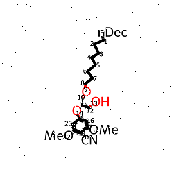 CCCCCCCCCCCCCCCCCCOC[C@H](CO)Oc1cc(OC)c(C#N)c(OC)c1